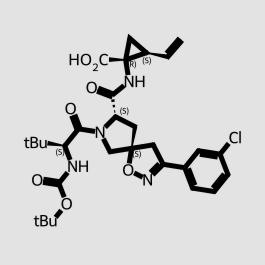 C=C[C@@H]1C[C@]1(NC(=O)[C@@H]1C[C@]2(CC(c3cccc(Cl)c3)=NO2)CN1C(=O)[C@@H](NC(=O)OC(C)(C)C)C(C)(C)C)C(=O)O